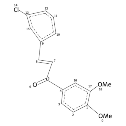 COc1ccc(C(=O)/C=C/c2cccc(Cl)c2)cc1OC